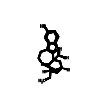 CC[C@H]1C[C@@H]2CN3CCc4c([nH]c5ccc(O)cc45)[C@](C(=O)O)(C2)C13